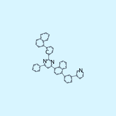 c1ccc(-c2cc(-c3ccc(-c4cccc(-c5cccnc5)c4)c4ccccc34)nc(-c3cccc(-c4cccc5ccccc45)c3)n2)cc1